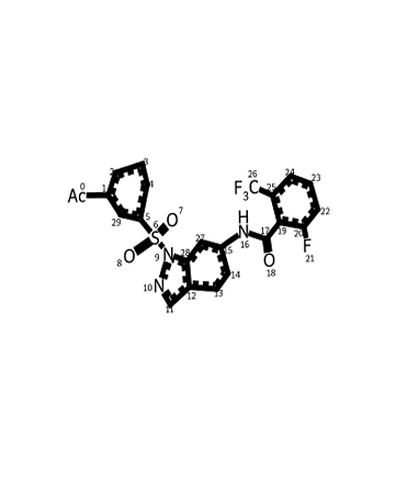 CC(=O)c1cccc(S(=O)(=O)n2ncc3ccc(NC(=O)c4c(F)cccc4C(F)(F)F)cc32)c1